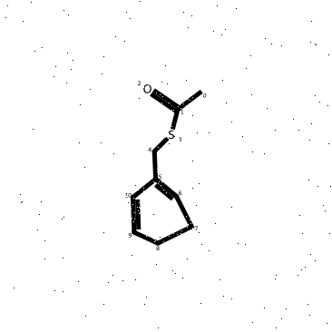 CC(=O)SCC1=CC[CH]C=C1